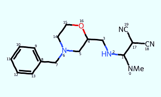 CNC(NCC1CN(Cc2ccccc2)CCO1)C(C#N)C#N